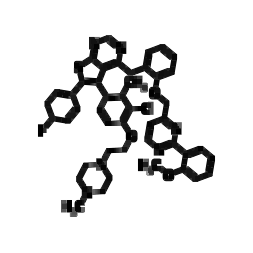 COc1ccccc1-c1nccc(COc2ccccc2Cc2ncnc3sc(C4=CCC(F)C=C4)c(-c4ccc(OCCN5CCN(C)CC5)c(Cl)c4C)c23)n1